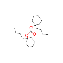 CCCCC1(OC(=O)OC2(CCCC)CCCCC2)CCCCC1